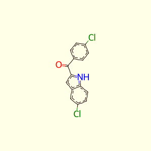 O=C(c1ccc(Cl)cc1)c1cc2cc(Cl)ccc2[nH]1